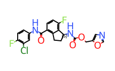 O=C(N[C@H]1CCc2c(C(=O)Nc3ccc(F)c(Cl)c3)ccc(F)c21)OCc1cnco1